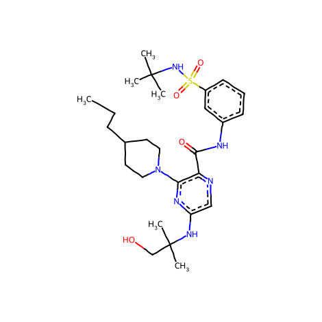 CCCC1CCN(c2nc(NC(C)(C)CO)cnc2C(=O)Nc2cccc(S(=O)(=O)NC(C)(C)C)c2)CC1